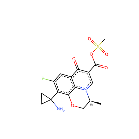 C[C@H]1COc2c(C3(N)CC3)c(F)cc3c(=O)c(C(=O)OS(C)(=O)=O)cn1c23